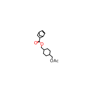 CC(=O)OCC1CCC(COC(=O)C2CC3C=CC2C3)CC1